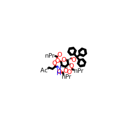 CCCC(=O)OC1O[C@H](COC(c2ccccc2)(c2ccccc2)c2ccccc2)[C@@H](OC(=O)CCC)[C@H](OC(=O)CCC)[C@@H]1NC(=O)CCC(C)=O